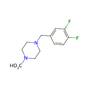 O=C(O)N1CCN(Cc2ccc(F)c(F)c2)CC1